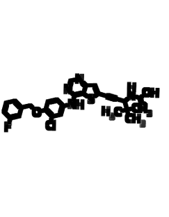 CC(C)(C)C(C#Cc1cc2ncnc(Nc3ccc(OCc4cccc(F)c4)c(Cl)c3)c2s1)NC(=O)O